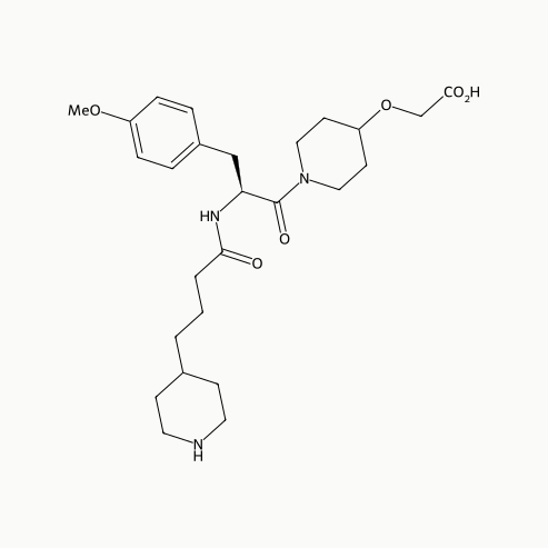 COc1ccc(C[C@H](NC(=O)CCCC2CCNCC2)C(=O)N2CCC(OCC(=O)O)CC2)cc1